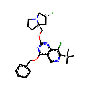 [CH3][Sn]([CH3])([CH3])[c]1ncc2c(OCc3ccccc3)nc(OC[C@@]34CCCN3C[C@H](F)C4)nc2c1F